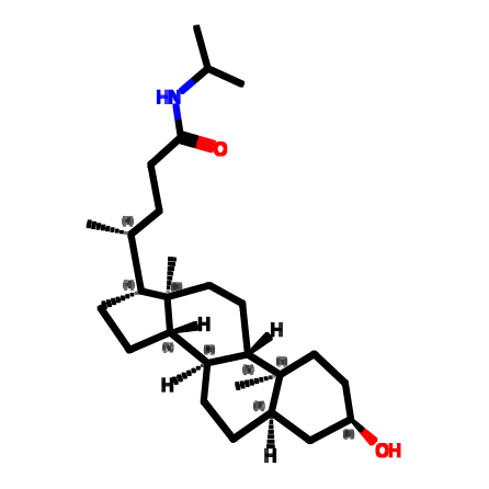 CC(C)NC(=O)CC[C@@H](C)[C@H]1CC[C@H]2[C@@H]3CC[C@@H]4C[C@H](O)CC[C@]4(C)[C@H]3CC[C@]12C